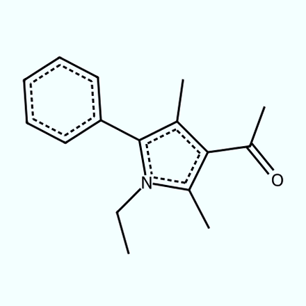 CCn1c(C)c(C(C)=O)c(C)c1-c1ccccc1